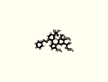 COC(=O)c1cc(-n2c(C)ccc2-c2cc(C(F)(F)F)ccc2OCc2ccccc2)cc(N)c1C